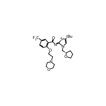 CC(C)(C)c1cn(C[C@H]2CCCO2)/c(=N/C(=O)c2cc(C(F)(F)F)ccc2OCCN2CCOCC2)s1